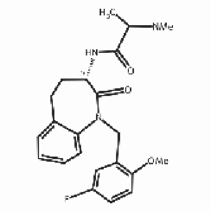 CNC(C)C(=O)N[C@H]1CCc2ccccc2N(Cc2cc(F)ccc2OC)C1=O